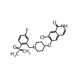 C=S(C)(=O)c1ccc(F)cc1CN1CCC(Oc2cc3cc[nH]c(=O)c3cc2Cl)CC1